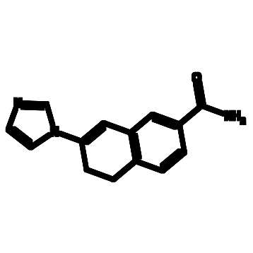 NC(=O)c1ccc2c(c1)C=C(n1ccnc1)CC2